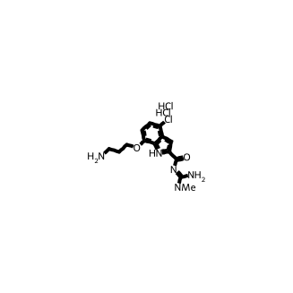 CNC(N)=NC(=O)c1cc2c(Cl)ccc(OCCCN)c2[nH]1.Cl.Cl